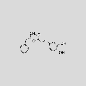 CC(Cc1ccccc1)OC(=O)/C=C/c1ccc(O)c(O)c1